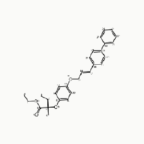 CCOC(=O)C(C)(CC)Oc1ccc(OC/C=C/c2ccc(-c3ccccc3)cc2)cc1